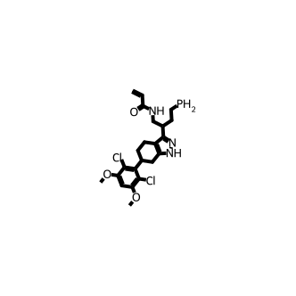 C=CC(=O)NCC(CCP)c1n[nH]c2c1CCC(c1c(Cl)c(OC)cc(OC)c1Cl)C2